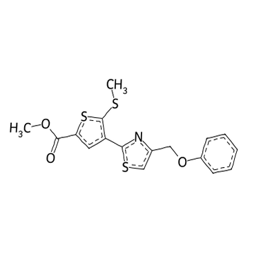 COC(=O)c1cc(-c2nc(COc3ccccc3)cs2)c(SC)s1